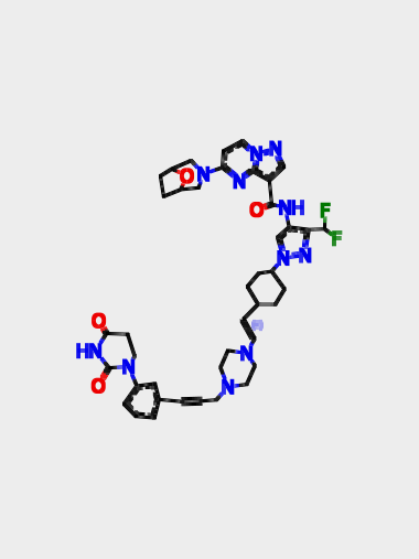 O=C1CCN(c2cccc(C#CCN3CCN(/C=C/C4CCC(n5cc(NC(=O)c6cnn7ccc(N8CC9CCC(C8)O9)nc67)c(C(F)F)n5)CC4)CC3)c2)C(=O)N1